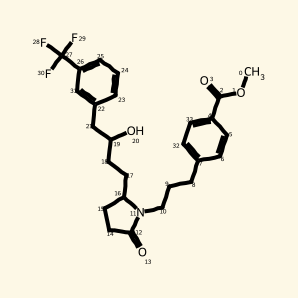 COC(=O)c1ccc(CCCN2C(=O)CCC2CCC(O)Cc2cccc(C(F)(F)F)c2)cc1